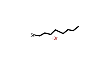 Br.CCCCCCC[CH2][Sn]